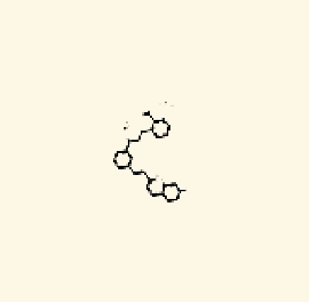 COC(=O)c1ccccc1CCC(SC(C)=O)c1cccc(/C=C/c2ccc3ccc(Cl)cc3n2)c1